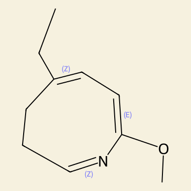 CC/C1=C/C=C(OC)\N=C/CC1